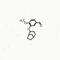 COc1ccc(C=O)cc1OC1CCC2CCC1C2